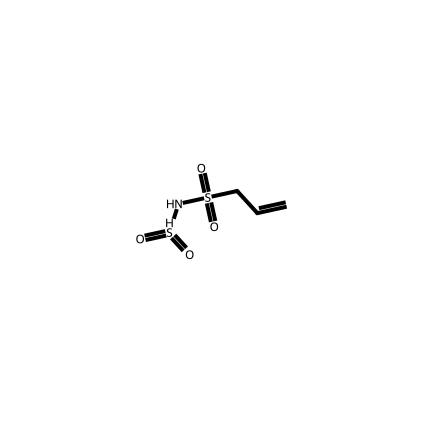 C=CCS(=O)(=O)N[SH](=O)=O